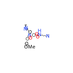 COc1ccc([C@H]2CC[C@H](CN(c3cccc(-c4cnn(C5CC5)c4)c3)C(=O)[C@H]3CC[C@H](OC(=O)NCCCCCN(C)C)CC3)CC2)cc1C